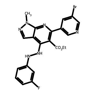 CCOC(=O)c1c(-c2cncc(Br)c2)nc2c(cnn2C)c1NNc1cccc(F)c1